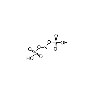 O=S(=O)(O)OSOS(=O)(=O)O